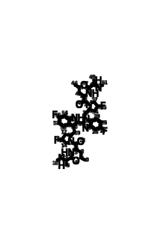 CCCC(NC(=O)C(C)NC)C(=O)N1CC(F)CC1Cc1c(-c2nc3cc(F)ccc3n2CC2CC(F)CN2C(=O)C(CCC)NC(=O)C(C)NC)[nH]c2cc(F)ccc12